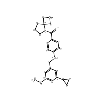 O=C(c1cnc(NCc2cc(OC(F)(F)F)cc(C3CC3)c2)nc1)N1CCCC12COC2